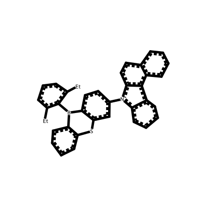 CCc1cccc(CC)c1B1c2ccccc2Sc2cc(-n3c4ccccc4c4c5ccccc5ccc43)ccc21